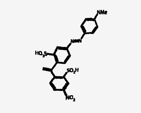 C=C(c1ccc(N=Nc2ccc(NC)cc2)cc1S(=O)(=O)O)c1ccc([N+](=O)[O-])cc1S(=O)(=O)O